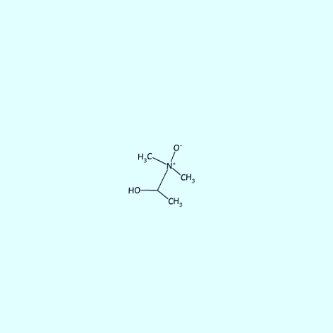 CC(O)[N+](C)(C)[O-]